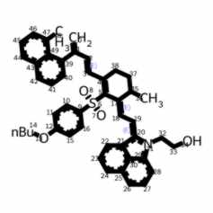 C=C(/C=C/C1=C(S(=O)(=O)c2ccc(OCCCC)cc2)C(=C/C=c2\c3cccc4cccc(c43)n2CCO)/C(C)CC1)c1cccc2cccc(C)c12